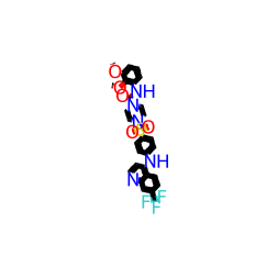 COc1cccc(NC(=O)N2CCN(S(=O)(=O)c3ccc(Nc4ccnc5cc(C(F)(F)F)ccc45)cc3)CC2)c1OC